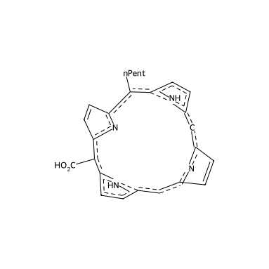 CCCCCc1c2nc(c(C(=O)O)c3ccc(cc4nc(cc5ccc1[nH]5)C=C4)[nH]3)C=C2